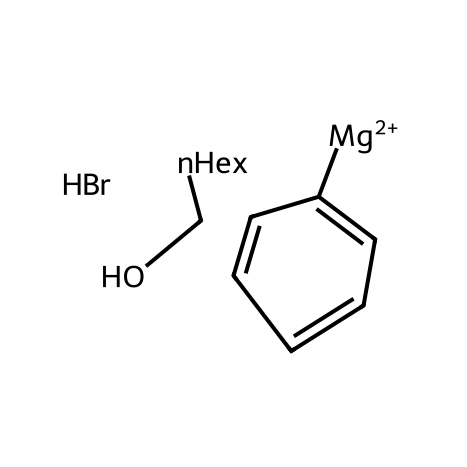 Br.CCCCCCCO.[Mg+2][c]1ccccc1